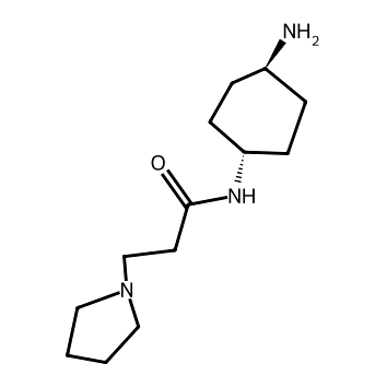 N[C@H]1CC[C@H](NC(=O)CCN2CCCC2)CC1